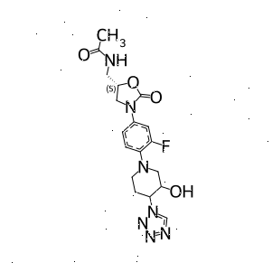 CC(=O)NC[C@H]1CN(c2ccc(N3CCC(n4cnnn4)C(O)C3)c(F)c2)C(=O)O1